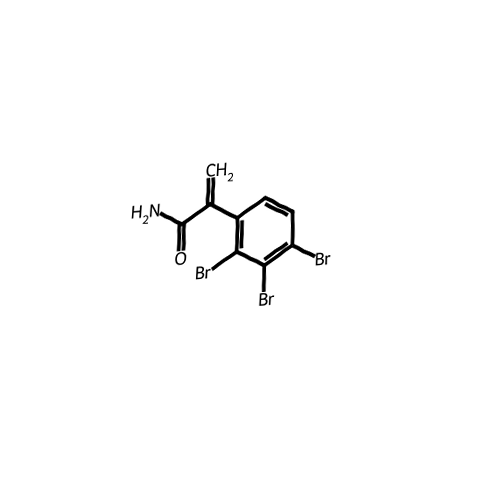 C=C(C(N)=O)c1ccc(Br)c(Br)c1Br